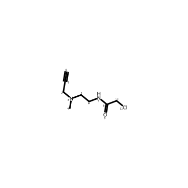 C#CCN(C)CCNC(=O)CCl